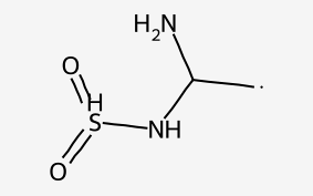 [CH2]C(N)N[SH](=O)=O